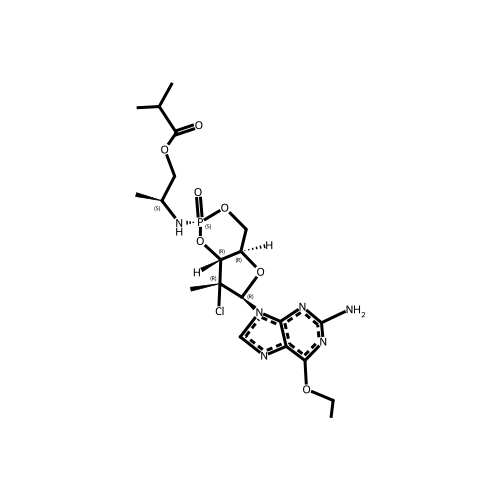 CCOc1nc(N)nc2c1ncn2[C@@H]1O[C@@H]2CO[P@@](=O)(N[C@@H](C)COC(=O)C(C)C)O[C@H]2[C@@]1(C)Cl